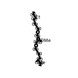 C=C(C)C(=O)OCC(CC)OC(=O)CCC(=O)OCCOC(=O)C1CCC(C(=O)Oc2ccc(OC(=O)C3CCC(C(=O)OCCOC(=O)CCC(=O)OC(COC)COC(=O)C(=C)C)CC3)c(C(=O)OC)c2)CC1